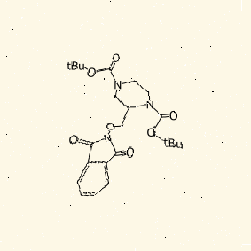 CC(C)(C)OC(=O)N1CCN(C(=O)OC(C)(C)C)C(CON2C(=O)c3ccccc3C2=O)C1